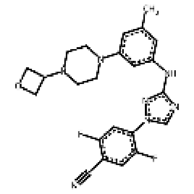 Cc1cc(Nc2ncn(-c3cc(F)c(C#N)cc3F)n2)cc(N2CCN(C3COC3)CC2)c1